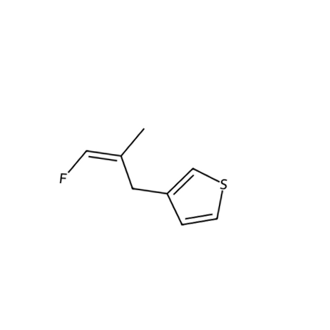 C/C(=C/F)Cc1ccsc1